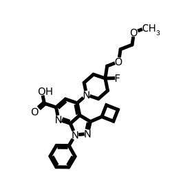 COCCOCC1(F)CCN(c2cc(C(=O)O)nc3c2c(C2CCC2)nn3-c2ccccc2)CC1